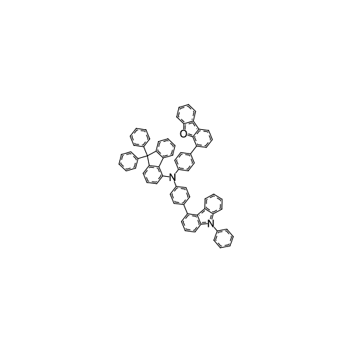 c1ccc(-n2c3ccccc3c3c(-c4ccc(N(c5ccc(-c6cccc7c6oc6ccccc67)cc5)c5cccc6c5-c5ccccc5C6(c5ccccc5)c5ccccc5)cc4)cccc32)cc1